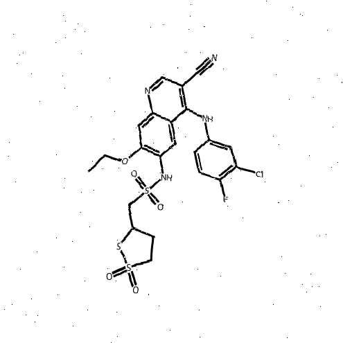 CCOc1cc2ncc(C#N)c(Nc3ccc(F)c(Cl)c3)c2cc1NS(=O)(=O)CC1CCS(=O)(=O)S1